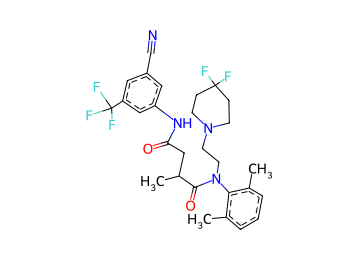 Cc1cccc(C)c1N(CCN1CCC(F)(F)CC1)C(=O)C(C)CC(=O)Nc1cc(C#N)cc(C(F)(F)F)c1